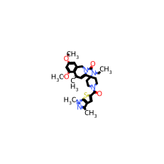 CCN1C(=O)N2Cc3cc(OC)cc(OC)c3[C@@H](C)C=C2C12CCN(C(=O)c1cc3c(C)nn(C)c3s1)CC2